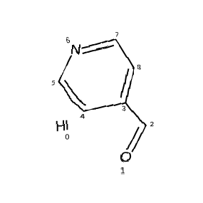 I.O=Cc1ccncc1